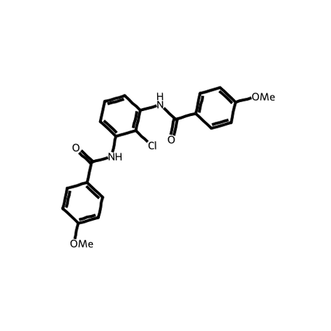 COc1ccc(C(=O)Nc2cccc(NC(=O)c3ccc(OC)cc3)c2Cl)cc1